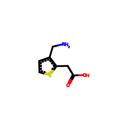 NCc1ccsc1CC(=O)O